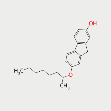 CCCCCCC(C)Oc1ccc2c(c1)Cc1cc(O)ccc1-2